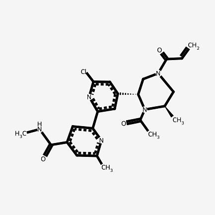 C=CC(=O)N1C[C@@H](C)N(C(C)=O)[C@H](c2cc(Cl)nc(-c3cc(C(=O)NC)cc(C)n3)c2)C1